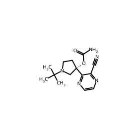 CC(C)(C)N1CC[C@@](OC(N)=O)(c2nccnc2C#N)C1